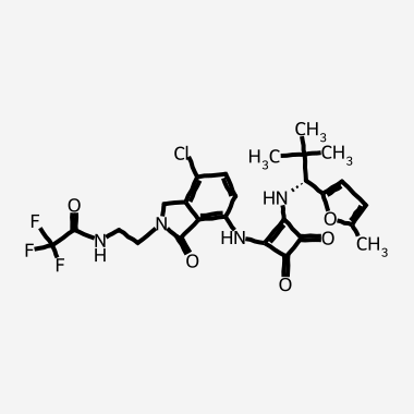 Cc1ccc([C@H](Nc2c(Nc3ccc(Cl)c4c3C(=O)N(CCNC(=O)C(F)(F)F)C4)c(=O)c2=O)C(C)(C)C)o1